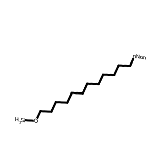 CCCCCCCCCCCCCCCCCCCCCO[SiH3]